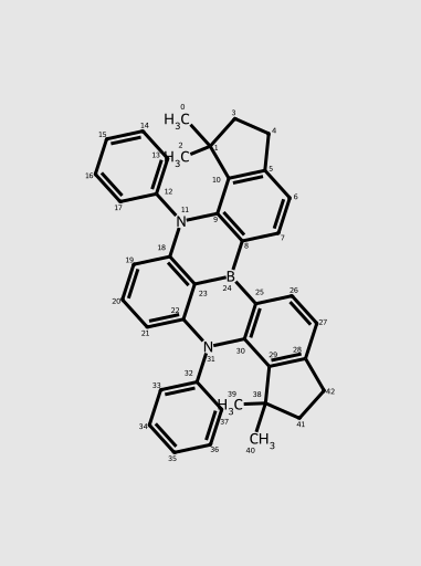 CC1(C)CCc2ccc3c(c21)N(c1ccccc1)c1cccc2c1B3c1ccc3c(c1N2c1ccccc1)C(C)(C)CC3